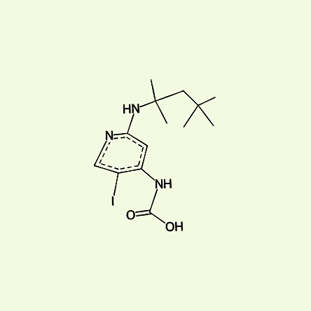 CC(C)(C)CC(C)(C)Nc1cc(NC(=O)O)c(I)cn1